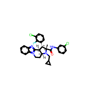 C[C@]1(C(=O)Nc2cccc(Cl)c2)[C@@H](c2cccc(Cl)c2F)[C@@H]2c3nc4ccccc4n3CC[C@@H]2N1CC1CC1